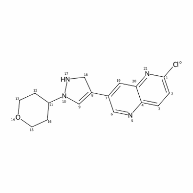 Clc1ccc2ncc(C3=CN(C4CCOCC4)NC3)cc2n1